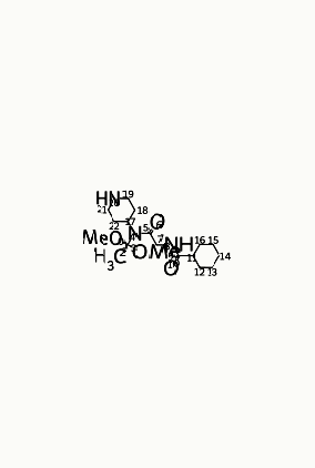 COC(C)(OC)N(C(=O)CNC(=O)C1CCCCC1)C1CCNCC1